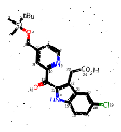 CC(C)(C)[Si](C)(C)OCc1ccnc(C(=O)c2[nH]c3ccc(Cl)cc3c2CC(=O)O)c1